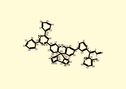 C=C/C=C(/c1cccc(-c2ccc3c(c2)Sc2cc(-c4cc(-c5ccccc5)nc(-c5ccccc5)n4)ccc2C32c3ccccc3-c3ccccc32)c1)c1ncccc1C